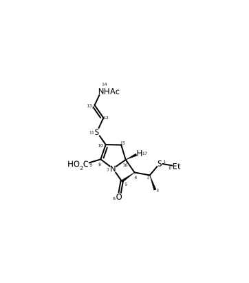 CCS[C@@H](C)[C@H]1C(=O)N2C(C(=O)O)=C(SC=CNC(C)=O)C[C@H]12